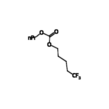 CCCOC(=O)OCCCCC(F)(F)F